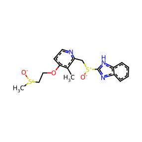 Cc1c(OCC[S+](C)[O-])ccnc1C[S+]([O-])c1nc2ccccc2[nH]1